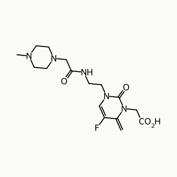 C=C1C(F)=CN(CCNC(=O)CN2CCN(C)CC2)C(=O)N1CC(=O)O